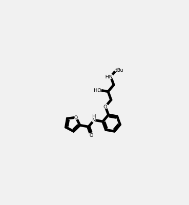 CC(C)(C)NCC(O)COc1ccccc1NC(=O)c1ccco1